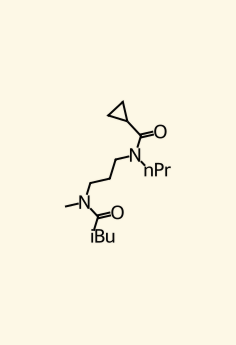 CCCN(CCCN(C)C(=O)C(C)CC)C(=O)C1CC1